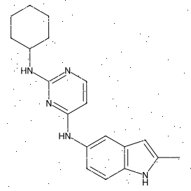 Cc1cc2cc(Nc3ccnc(NC4CCCCC4)n3)ccc2[nH]1